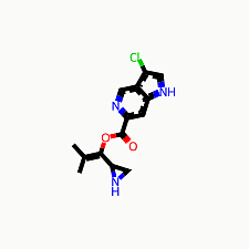 CC(C)=C(OC(=O)c1cc2[nH]cc(Cl)c2cn1)C1CN1